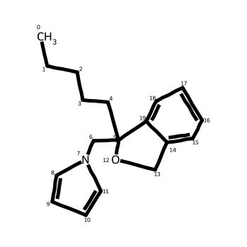 CCCCCC1(Cn2cccc2)OCc2ccccc21